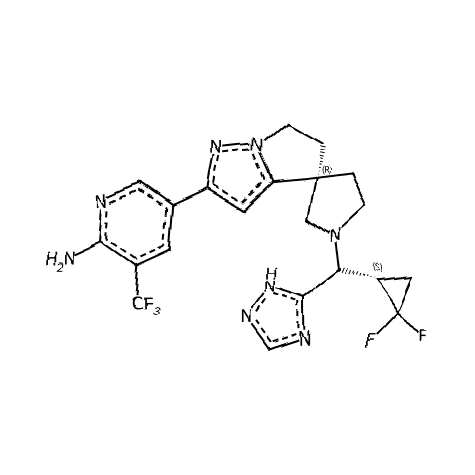 Nc1ncc(-c2cc3n(n2)CC[C@@]32CCN(C(c3ncn[nH]3)[C@@H]3CC3(F)F)C2)cc1C(F)(F)F